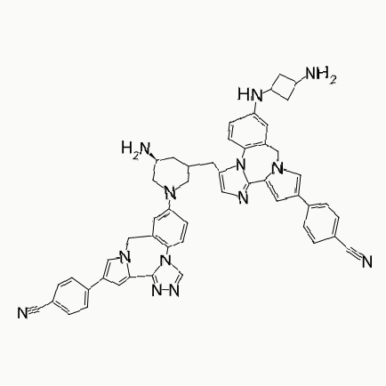 N#Cc1ccc(-c2cc3n(c2)Cc2cc(N4CC(Cc5cnc6n5-c5ccc(NC7CC(N)C7)cc5Cn5cc(-c7ccc(C#N)cc7)cc5-6)C[C@H](N)C4)ccc2-n2cnnc2-3)cc1